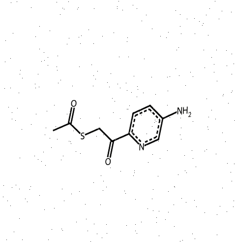 CC(=O)SCC(=O)c1ccc(N)cn1